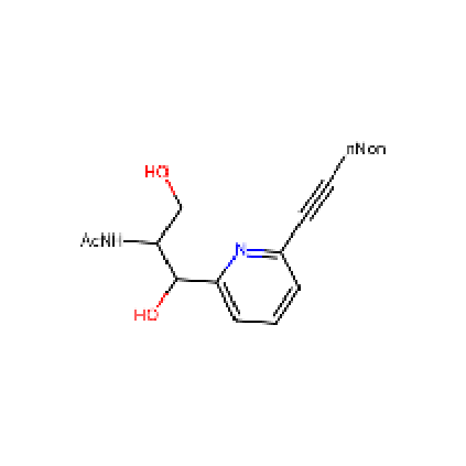 CCCCCCCCCC#Cc1cccc(C(O)C(CO)NC(C)=O)n1